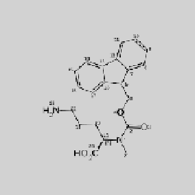 CN(C(=O)OCC1c2ccccc2-c2ccccc21)[C@H](CCCN)C(=O)O